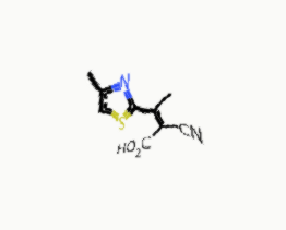 C/C(=C(\C#N)C(=O)O)c1nc(C)cs1